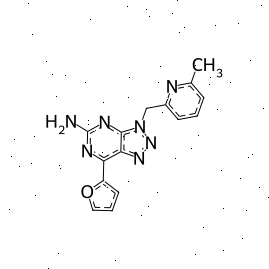 Cc1cccc(Cn2nnc3c(-c4ccco4)nc(N)nc32)n1